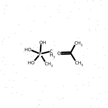 CC(C)=O.CP(C)(O)(O)O